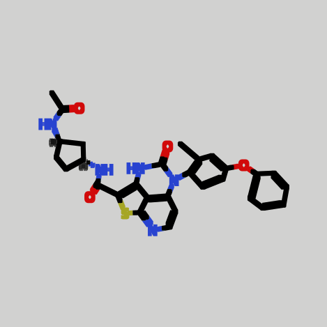 CC(=O)N[C@@H]1CC[C@@H](NC(=O)c2sc3nccc4c3c2NC(=O)N4c2ccc(Oc3ccccc3)cc2C)C1